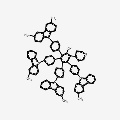 Cc1ccc2c(c1)c1ccccc1n2-c1ccc(-c2c(-c3ccncc3)c(C#N)c(-c3ccc(-n4c5ccc(C)cc5c5cc(C)ccc54)cc3)c(-c3ccc(-n4c5ccccc5c5cc(C)ccc54)cc3)c2-c2ccc(-n3c4ccccc4c4cc(C)ccc43)cc2)cc1